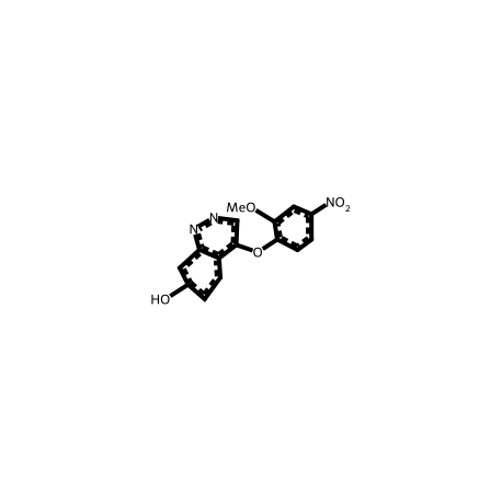 COc1cc([N+](=O)[O-])ccc1Oc1cnnc2cc(O)ccc12